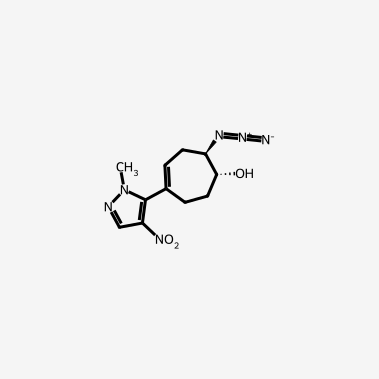 Cn1ncc([N+](=O)[O-])c1C1=CC[C@@H](N=[N+]=[N-])[C@H](O)CC1